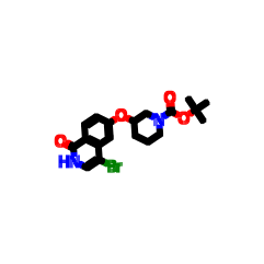 CC(C)(C)OC(=O)N1CCCC(Oc2ccc3c(=O)[nH]cc(Br)c3c2)C1